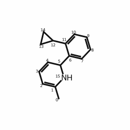 CC1=CC=CC(c2ccccc2C2CC2)N1